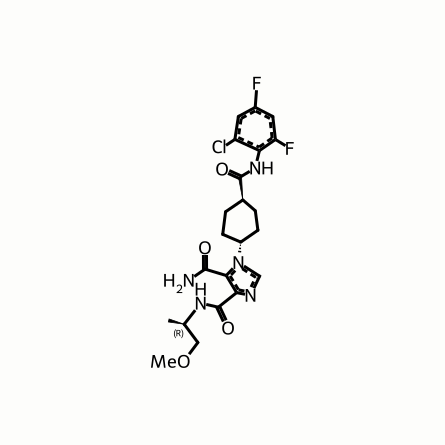 COC[C@@H](C)NC(=O)c1ncn([C@H]2CC[C@H](C(=O)Nc3c(F)cc(F)cc3Cl)CC2)c1C(N)=O